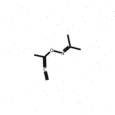 C=C=C(C)ON=C(C)C